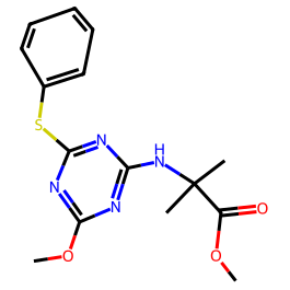 COC(=O)C(C)(C)Nc1nc(OC)nc(Sc2ccccc2)n1